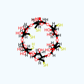 O[C@@H]1[C@@H](O)[C@H]2O[C@H]3[C@H](O)[C@@H](O)[C@@H](O[C@H]4[C@H](O)[C@@H](O)[C@@H](O[C@H]5[C@H](O)[C@@H](O)[C@@H](O[C@H]6[C@H](O)[C@@H](O)[C@@H](O[C@H]7[C@H](O)[C@@H](O)[C@@H](O[C@@H]1[C@@H](CS)O2)O[C@@H]7CS)O[C@@H]6CS)O[C@@H]5CS)O[C@@H]4CS)O[C@@H]3CS